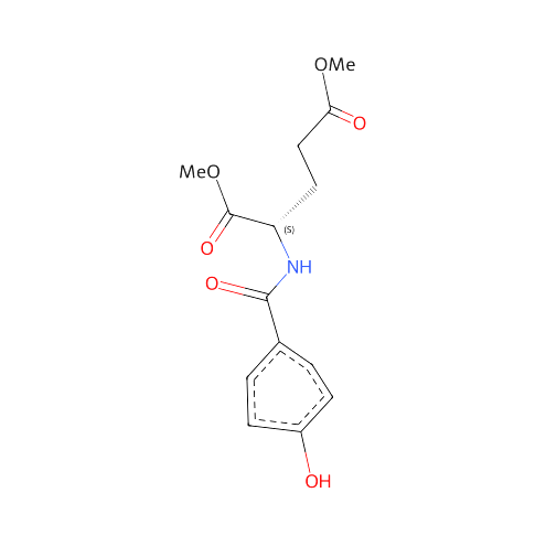 COC(=O)CC[C@H](NC(=O)c1ccc(O)cc1)C(=O)OC